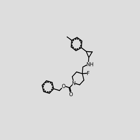 Cc1ccc(C2CC2NCC2(F)CCN(C(=O)OCc3ccccc3)CC2)cc1